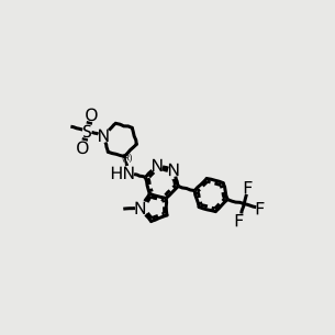 Cn1ccc2c(-c3ccc(C(F)(F)F)cc3)nnc(N[C@@H]3CCCN(S(C)(=O)=O)C3)c21